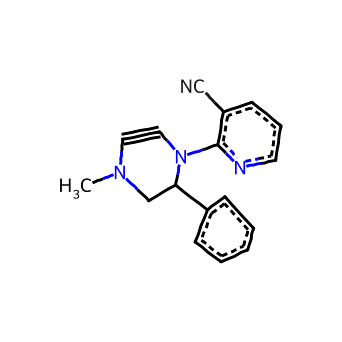 CN1C#CN(c2ncccc2C#N)C(c2ccccc2)C1